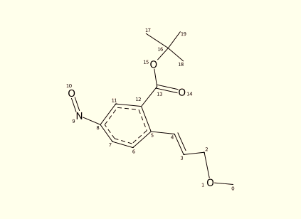 COCC=Cc1ccc(N=O)cc1C(=O)OC(C)(C)C